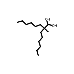 CCCCCCC(C)(CCCCCC)C(O)O